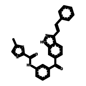 Cc1cnc(C(=O)Nc2cccc(C(=O)c3ccc4c(C=Cc5ccccc5)n[nH]c4c3)c2)s1